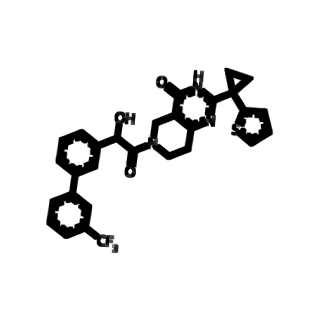 O=C(C(O)c1cccc(-c2cccc(C(F)(F)F)c2)c1)N1CCc2nc(C3(c4cccs4)CC3)[nH]c(=O)c2C1